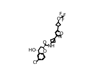 O=C(NC12CC(c3cc(C4CC(OC(F)(F)F)C4)on3)(C1)C2)[C@@H]1C[C@@H](O)c2cc(Cl)ccc2O1